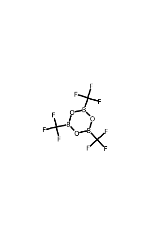 FC(F)(F)B1OB(C(F)(F)F)OB(C(F)(F)F)O1